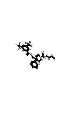 C=C(OCC1(c2ccccc2)CCN(C(=O)OCCCC)CC1)c1cc(C(F)(F)F)cc(C(F)(F)F)c1